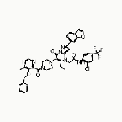 CCc1c(N2CCN(C(=O)c3ncnc(C)c3OCc3ccccc3)CC2)c(=O)n2nc(-c3ccc4ccoc4c3)cc2n1CC(=O)Nc1ccc(C(F)(F)F)cc1Cl